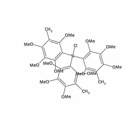 COc1c(C)c(OC)c([Si](Cl)(c2c(OC)c(C)c(OC)c(OC)c2OC)c2c(OC)c(C)c(OC)c(OC)c2OC)c(OC)c1OC